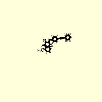 CC1=C2[C@@H](O)CCC[C@@]2(C)C/C(=C\c2ccc(C#Cc3ccccc3)cc2)C1=O